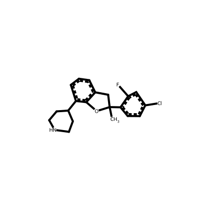 CC1(c2ccc(Cl)cc2F)Cc2cccc(C3CCNCC3)c2O1